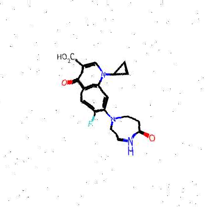 O=C1CCN(c2cc3c(cc2F)c(=O)c(C(=O)O)cn3C2CC2)CCN1